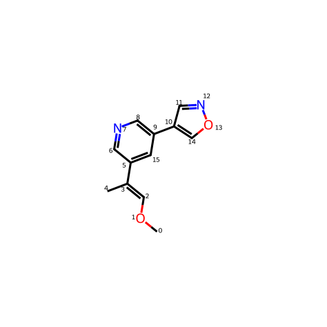 COC=C(C)c1cncc(-c2cnoc2)c1